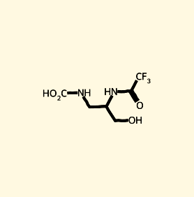 O=C(O)NCC(CO)NC(=O)C(F)(F)F